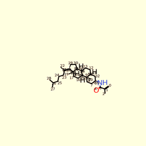 C=C(C)C(=O)N[C@H]1CC[C@@]2(C)[C@@H](CC[C@@H]3[C@@H]2CC[C@]2(C)[C@@H]([C@H](C)CCCC(C)C)CC[C@@H]32)C1